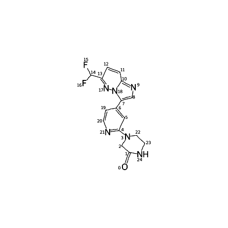 O=C1CN(c2cc(-c3cnc4ccc(C(F)F)nn34)ccn2)CCN1